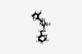 Cc1ccoc1-c1n[nH]c(SCc2ccccn2)n1